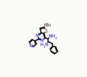 CC(C)(C)c1cc2nc(-c3ccncc3)nc(C(N)C(N)Cc3ccccc3)c2s1